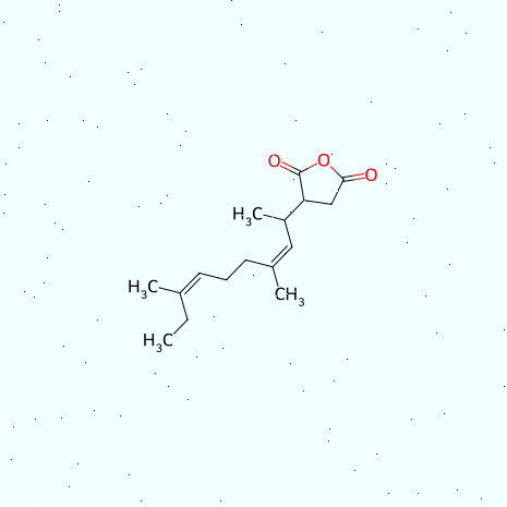 CCC(C)=CCCC(C)=CC(C)C1CC(=O)OC1=O